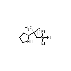 CC[Si](CC)(CC)C[C@](C)(O)[C@@H]1CCCN1